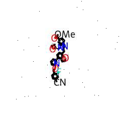 COC(=O)c1ccc2nc(Cc3ccc(-c4cccc(OCc5ccc(C#N)cc5F)n4)c4c3OCC4)n(C[C@@H]3CCO3)c2c1